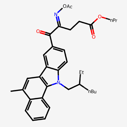 CCCCC(CC)Cn1c2ccc(C(=O)/C(CCC(=O)OCCC)=N/OC(C)=O)cc2c2cc(C)c3ccccc3c21